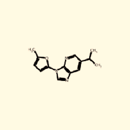 Cc1ccc(-n2cnc3cc(C(C)C)cnc32)o1